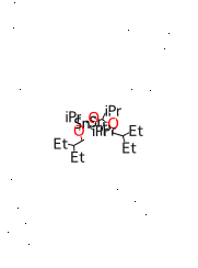 CCC(CC)C[O][Sn]([O][Sn]([O]CC(CC)CC)([CH](C)C)[CH](C)C)([CH](C)C)[CH](C)C